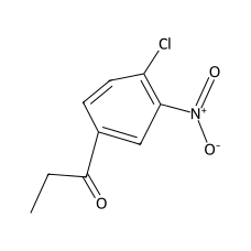 CCC(=O)c1ccc(Cl)c([N+](=O)[O-])c1